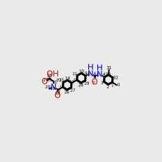 Cc1ccc(NC(=O)Nc2ccc(-c3ccc(C(=O)N(C)[C@@H](C)C(=O)O)cc3)cc2)c(C)c1